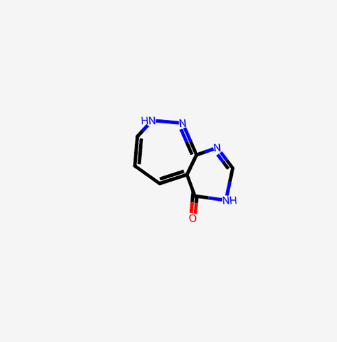 O=c1[nH]cnc2c1=CC=CNN=2